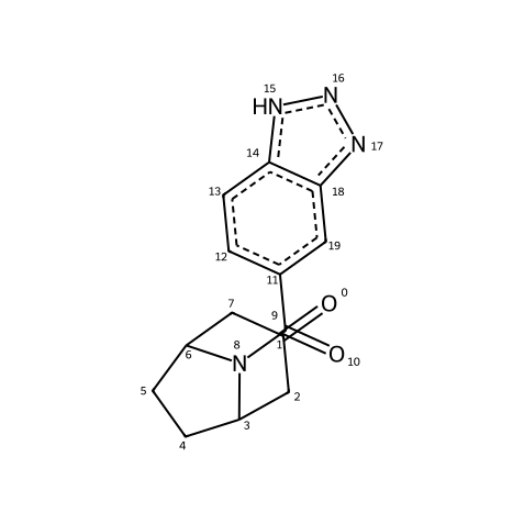 O=C1CC2CCC(C1)N2C(=O)c1ccc2[nH]nnc2c1